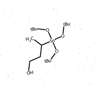 C[CH](CCO)[Sn]([O]C(C)(C)C)([O]C(C)(C)C)[O]C(C)(C)C